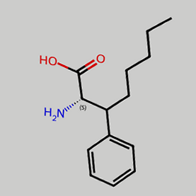 CCCCCC(c1ccccc1)[C@H](N)C(=O)O